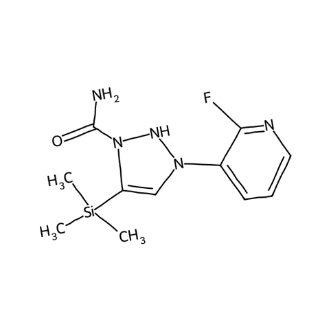 C[Si](C)(C)C1=CN(c2cccnc2F)NN1C(N)=O